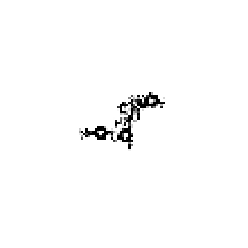 N#Cc1ccc(COc2cc(F)cc(CNC(=O)[C@@H]3CCCN3S(=O)(=O)c3cc4cc(F)ccc4o3)c2)cc1